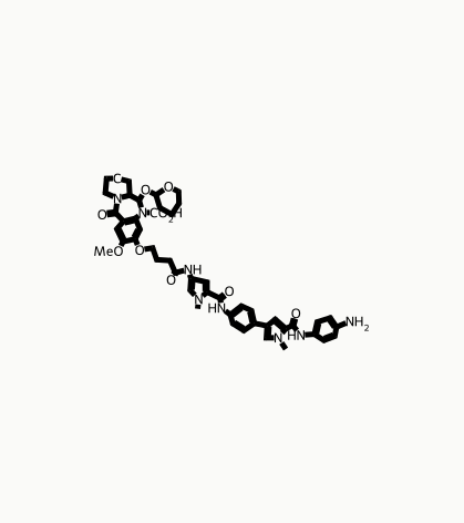 COc1cc2c(cc1OCCCC(=O)Nc1cc(C(=O)Nc3ccc(-c4cc(C(=O)Nc5ccc(N)cc5)n(C)c4)cc3)n(C)c1)N(C(=O)O)C(OC1CCCCO1)C1CCCCN1C2=O